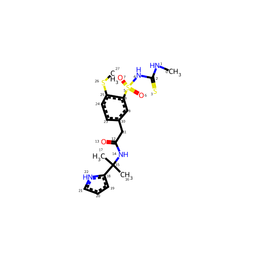 CNC(=S)NS(=O)(=O)c1cc(CC(=O)NC(C)(C)c2ccc[nH]2)ccc1SC